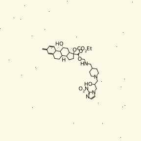 C=C1C=C[C@]2(C)C(=C1)CC[C@H]1C2[C@H](O)C[C@]2(C)C1CCC2(OC(=O)OCC)C(=O)OCNCC1CCN(CC(O)Cn2ccnc2[N+](=O)[O-])CC1